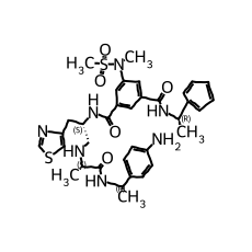 C[C@H](NC[C@H](Cc1cscn1)NC(=O)c1cc(C(=O)N[C@H](C)c2ccccc2)cc(N(C)S(C)(=O)=O)c1)C(=O)N[C@H](C)c1ccc(N)cc1